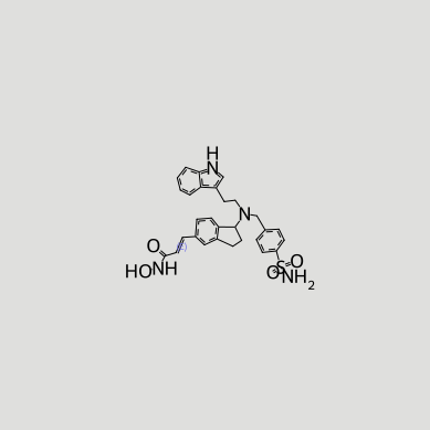 NS(=O)(=O)c1ccc(CN(CCc2c[nH]c3ccccc23)C2CCc3cc(/C=C/C(=O)NO)ccc32)cc1